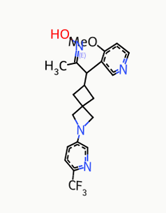 COc1ccncc1C(/C(C)=N/O)C1CC2(C1)CN(c1ccc(C(F)(F)F)nc1)C2